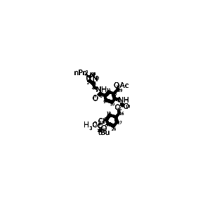 CCCn1cc(CNC(=O)c2ccc(NC(=O)OCc3ccc(O[Si](C)(C)C(C)(C)C)cc3)c(COC(C)=O)c2)nn1